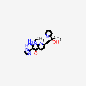 CCn1c(N)c(-c2ncc[nH]2)c(=O)c2ccc(C#C[C@@](C)(O)c3ccccn3)nc21